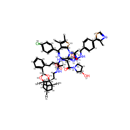 Cc1ncsc1-c1ccc(CNC(=O)[C@@H]2C[C@@H](O)CN2C(=O)[C@@H](NC(=O)CCc2ccccc2B2O[C@H]3C[C@H]4C[C@H](C4(C)C)[C@@]3(CCNC(=O)C[C@@H]3N=C(c4ccc(Cl)cc4)c4c(sc(C)c4C)-n4c(C)nnc43)O2)C(C)(C)C)cc1